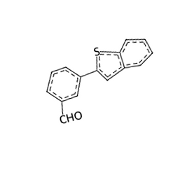 O=Cc1cccc(-c2cc3ccccc3s2)c1